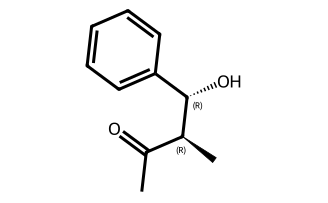 CC(=O)[C@H](C)[C@@H](O)c1ccccc1